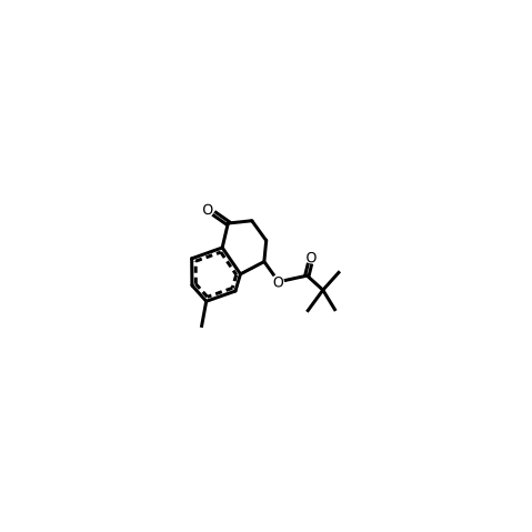 Cc1ccc2c(c1)C(OC(=O)C(C)(C)C)CCC2=O